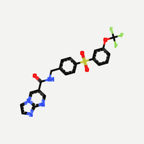 O=C(NCc1ccc(S(=O)(=O)c2cccc(OC(F)(F)F)c2)cc1)c1cnc2nccn2c1